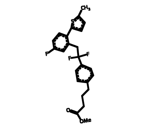 COC(=O)CCCc1ccc(C(F)(F)Cc2cc(F)ccc2-c2ccc(C)s2)cc1